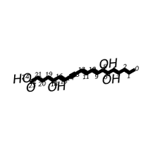 CCCCC[C@H](O)C(O)C=CC=CC#CC=CC(O)CCCC(=O)O